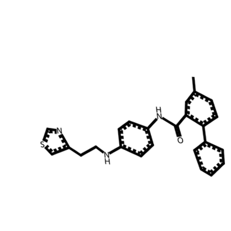 Cc1ccc(-c2ccccc2)c(C(=O)Nc2ccc(NCCc3cscn3)cc2)c1